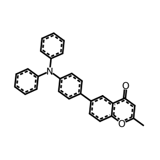 Cc1cc(=O)c2cc(-c3ccc(N(c4ccccc4)c4ccccc4)cc3)ccc2o1